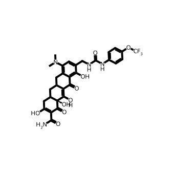 CN(C)c1cc(CNC(=O)Nc2ccc(OC(F)(F)F)cc2)c(O)c2c1CC1CC3CC(O)=C(C(N)=O)C(=O)[C@@]3(O)C(O)=C1C2=O